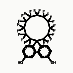 Oc1ccc(C2(c3ccc(O)cc3)C(F)(F)C(F)(F)C(F)(F)C(F)(F)C(F)(F)C(F)(F)C(F)(F)C(F)(F)C(F)(F)C(F)(F)C2(F)F)cc1